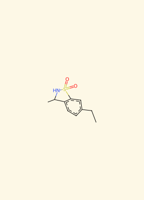 CCc1ccc2c(c1)S(=O)(=O)NC2C